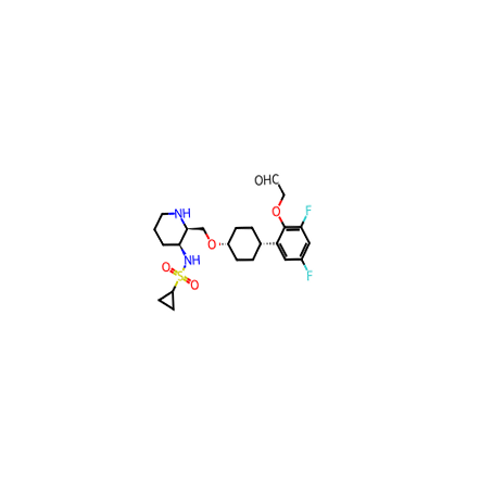 O=CCOc1c(F)cc(F)cc1[C@H]1CC[C@@H](OC[C@@H]2NCCC[C@@H]2NS(=O)(=O)C2CC2)CC1